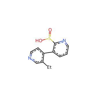 CCc1cnccc1-c1cccnc1S(=O)O